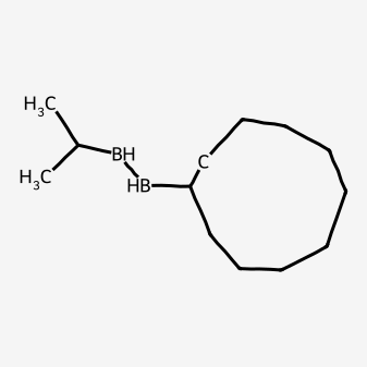 CC(C)BBC1CCCCCCCCC1